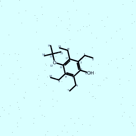 CCc1c(O)c(CC)c(CC)c(OC(C)(C)C)c1CC